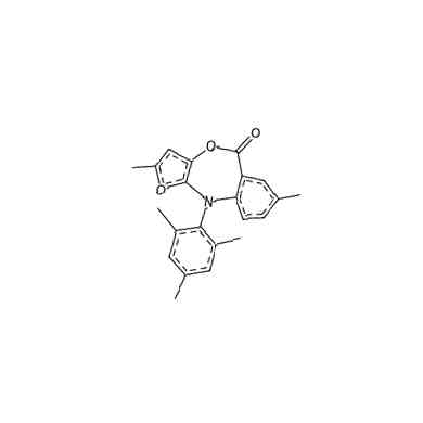 Cc1cc(C)c(N2c3ccc(C)cc3C(=O)Oc3cc(C)oc32)c(C)c1